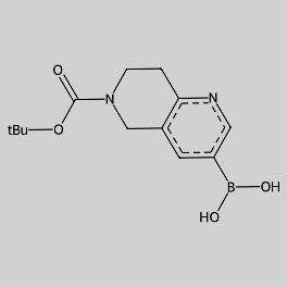 CC(C)(C)OC(=O)N1CCc2ncc(B(O)O)cc2C1